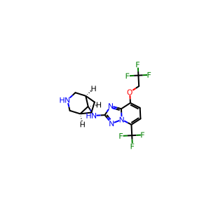 FC(F)(F)COc1ccc(C(F)(F)F)n2nc(N[C@@H]3[C@@H]4CC[C@H]3CNC4)nc12